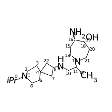 CC(C)N1CCC2(CC1)CC(NCC(C)N1CC[C@@H](N)[C@H](O)CC1)C2